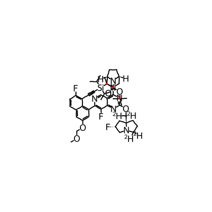 [2H]C1([2H])CC[C@@]2(C([2H])([2H])Oc3nc(N4C[C@H]5CC[C@@H](C4)N5C(=O)OC(C)(C)C)c4cnc(-c5cc(OCOC)cc6ccc(F)c(C#C[Si](C(C)C)(C(C)C)C(C)C)c56)c(F)c4n3)C[C@@H](F)CN12